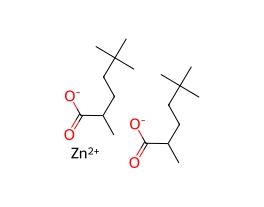 CC(CCC(C)(C)C)C(=O)[O-].CC(CCC(C)(C)C)C(=O)[O-].[Zn+2]